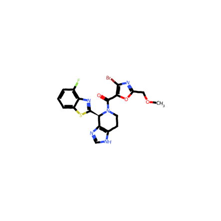 COCc1nc(Br)c(C(=O)N2CCc3[nH]cnc3[C@H]2c2nc3c(F)cccc3s2)o1